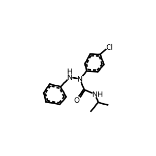 CC(C)NC(=O)N(Nc1ccccc1)c1ccc(Cl)cc1